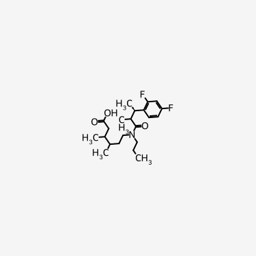 CCCN(CCC(C)C(C)CC(=O)O)C(=O)C(C)[C@@H](C)c1ccc(F)cc1F